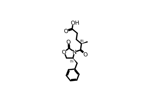 C[C@H](CCC(=O)O)C(=O)N1C(=O)OC[C@@H]1Cc1ccccc1